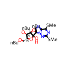 CCCCOC[C@H]1O[C@@](O)(c2cnc3c(SC)nc(SC)nn23)[C@](C)(OCCCC)[C@@H]1OCCCC